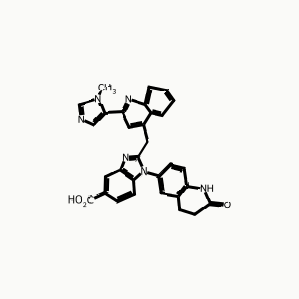 Cn1cncc1-c1cc(Cc2nc3cc(C(=O)O)ccc3n2-c2ccc3c(c2)CCC(=O)N3)c2ccccc2n1